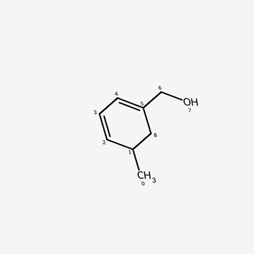 CC1C=CC=C(CO)C1